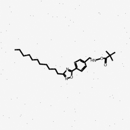 CCCCCCCCCCCc1noc(-c2ccc(CNOC(=O)C(C)(C)C)cc2)n1